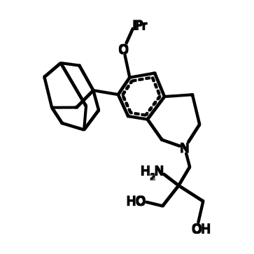 CC(C)Oc1cc2c(cc1C13CC4CC(CC(C4)C1)C3)CN(CC(N)(CO)CO)CC2